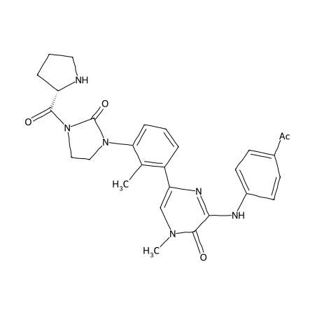 CC(=O)c1ccc(Nc2nc(-c3cccc(N4CCN(C(=O)[C@@H]5CCCN5)C4=O)c3C)cn(C)c2=O)cc1